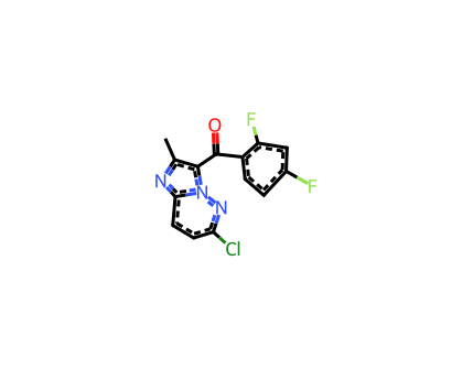 Cc1nc2ccc(Cl)nn2c1C(=O)c1ccc(F)cc1F